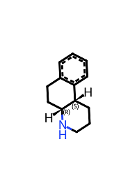 c1ccc2c(c1)CC[C@H]1NCCC[C@@H]21